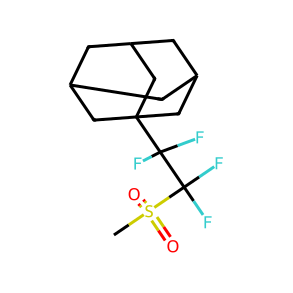 CS(=O)(=O)C(F)(F)C(F)(F)C12CC3CC(CC(C3)C1)C2